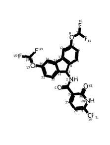 O=C(NC1c2ccc(OC(F)F)cc2-c2cc(OC(F)F)ccc21)c1ccc(C(F)(F)F)[nH]c1=O